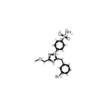 COCc1nc(Cc2cccc(Br)c2)n(-c2ccc(S(N)(=O)=O)cc2)n1